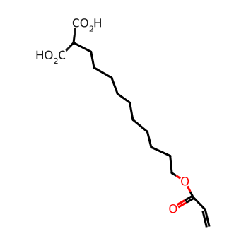 C=CC(=O)OCCCCCCCCCCC(C(=O)O)C(=O)O